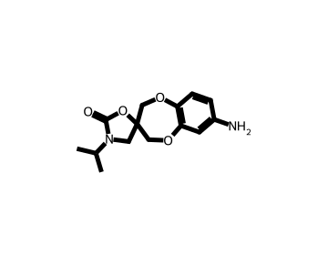 CC(C)N1CC2(COc3ccc(N)cc3OC2)OC1=O